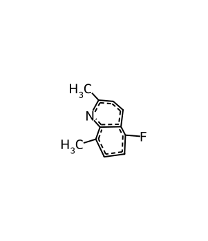 Cc1ccc2c(F)ccc(C)c2n1